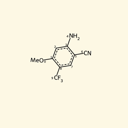 COc1cc(N)c(C#N)cc1C(F)(F)F